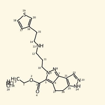 CCOC(=O)c1c2c(nn1CCCNCCc1ccsc1)-c1cn[nH]c1CC2.Cl.Cl